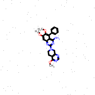 COc1cc2nc(N3CCc4c(ncnc4OC)C3)nc(N)c2c(-c2ccccc2)c1OC